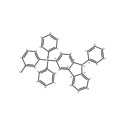 Cc1cccc([Si](c2ccccc2)(c2ccccc2)c2ccc3c(c2)c2ccccc2n3-c2ccccc2)c1